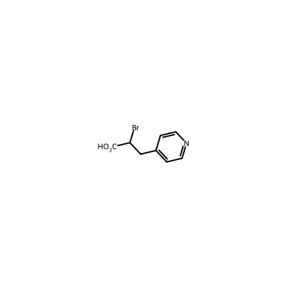 O=C(O)C(Br)Cc1ccncc1